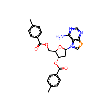 Cc1ccc(C(=O)OC[C@H]2O[C@@H](n3cpc4ncnc(N)c43)C[C@@H]2OC(=O)c2ccc(C)cc2)cc1